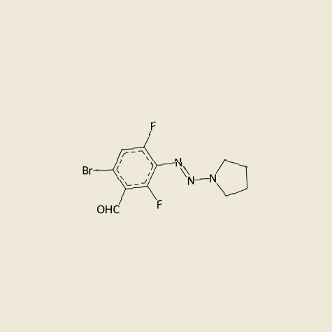 O=Cc1c(Br)cc(F)c(N=NN2CCCC2)c1F